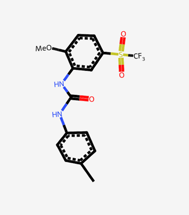 COc1ccc(S(=O)(=O)C(F)(F)F)cc1NC(=O)Nc1ccc(C)cc1